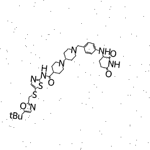 CC(C)(C)c1cnc(CSc2cnc(NC(=O)C3CCN(C4CCN(Cc5ccc(NC6CCC(=O)NC6=O)cc5)CC4)CC3)s2)o1